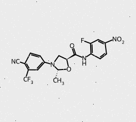 C[C@H]1O[C@H](C(=O)Nc2ccc([N+](=O)[O-])cc2F)CN1c1ccc(C#N)c(C(F)(F)F)c1